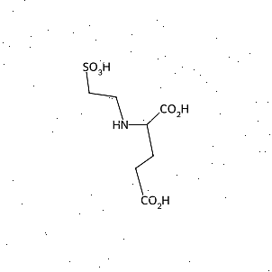 O=C(O)CCC(NCCS(=O)(=O)O)C(=O)O